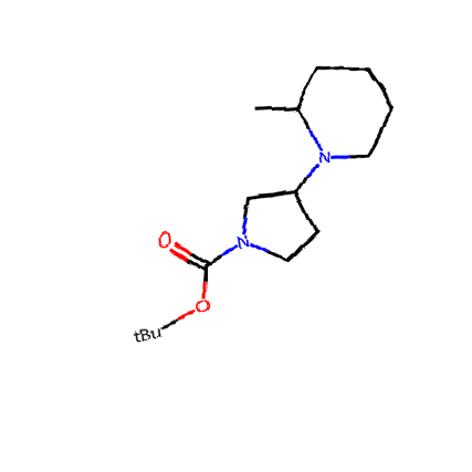 CC1CCCCN1C1CCN(C(=O)OC(C)(C)C)C1